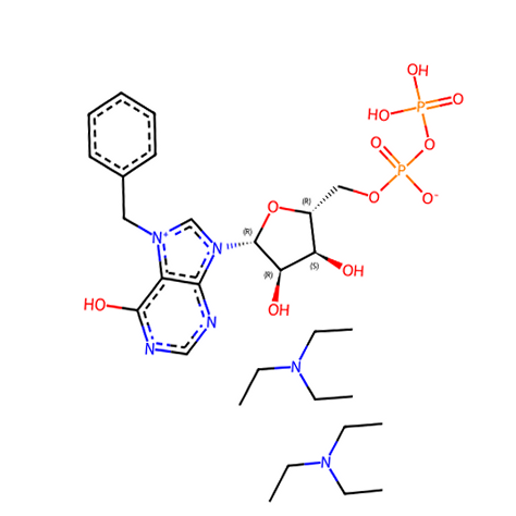 CCN(CC)CC.CCN(CC)CC.O=P(O)(O)OP(=O)([O-])OC[C@H]1O[C@@H](n2c[n+](Cc3ccccc3)c3c(O)ncnc32)[C@H](O)[C@@H]1O